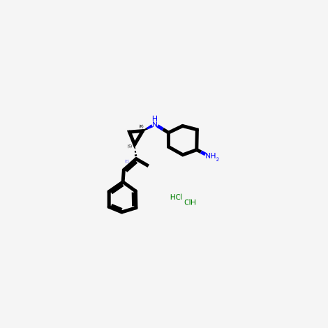 C/C(=C\c1ccccc1)[C@@H]1C[C@H]1NC1CCC(N)CC1.Cl.Cl